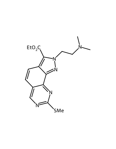 CCOC(=O)c1c2ccc3cnc(SC)nc3c2nn1CCN(C)C